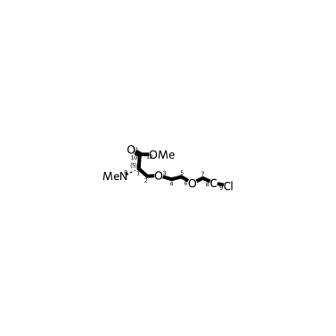 CN[C@@H](COCCOCCCl)C(=O)OC